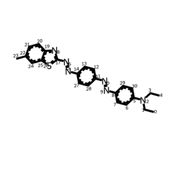 CCN(CC)c1ccc(N=Nc2ccc(N=Nc3nc4ccc(C)cc4s3)cc2)cc1